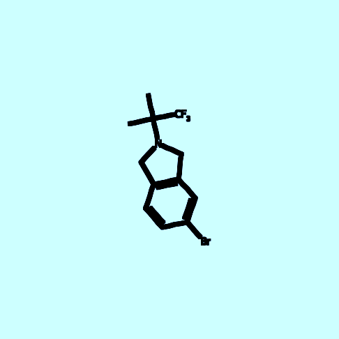 CC(C)(N1Cc2ccc(Br)cc2C1)C(F)(F)F